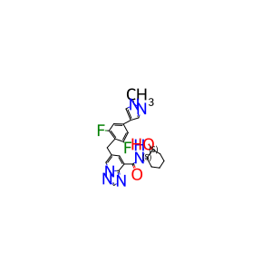 Cn1cc(-c2cc(F)c(Cc3cc(C(=O)N[C@H]4CCCC[C@@H]4O)c4ncnn4c3)c(F)c2)cn1